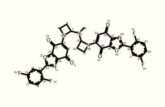 CN(C1CCN1C1=CC(=O)c2nc(-c3cc(F)ccc3F)oc2C1=O)C1CCN1C1=CC(=O)c2nc(-c3cc(F)ccc3F)oc2C1=O